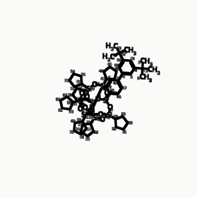 CC(C)(C)c1cc(-c2ccc([Si]34O[Si]5(C6CCCC6)O[Si]6(C7CCCC7)O[Si](C7CCCC7)(O3)O[Si]3(C7CCCC7)O[Si](C7CCCC7)(O4)O[Si](C4CCCC4)(O5)O[Si](C4CCCC4)(O6)O3)cc2)cc(C(C)(C)C)c1